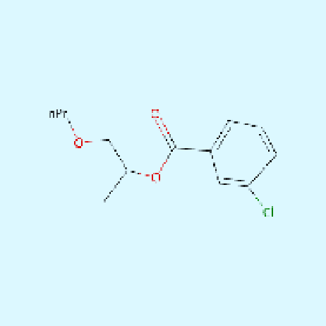 CCCOCC(C)OC(=O)c1cccc(Cl)c1